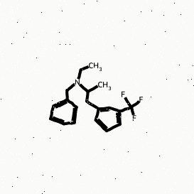 CCN(Cc1ccccc1)C(C)Cc1cccc(C(F)(F)F)c1